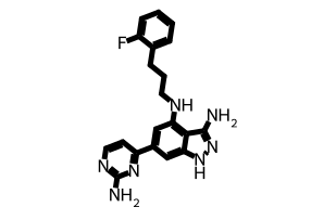 Nc1nccc(-c2cc(NCCCc3ccccc3F)c3c(N)n[nH]c3c2)n1